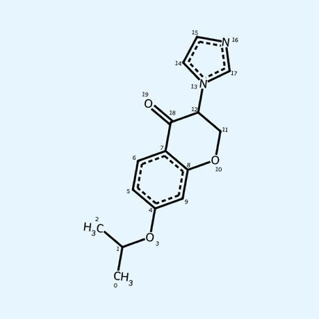 CC(C)Oc1ccc2c(c1)OCC(n1ccnc1)C2=O